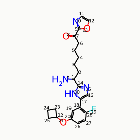 NC(CCCCCC(=O)c1ncco1)c1ncc(-c2cc(OC3CCC3)ccc2F)[nH]1